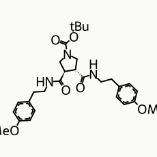 COc1ccc(CCNC(=O)[C@H]2CN(C(=O)OC(C)(C)C)C[C@@H]2C(=O)NCCc2ccc(OC)cc2)cc1